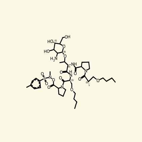 CCCCOC[C@H](NC(=O)[C@@H](NC(=O)C1CCCN1C(=O)[C@@H](C)COCCCC)C(C)O[C@@H]1OC(CO)[C@@H](O)C(O)C1N)C(=O)N1CCCC1C(=O)ON(C)S(=O)(=O)c1ccc(C)cc1